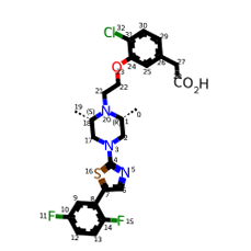 C[C@@H]1CN(c2ncc(-c3cc(F)ccc3F)s2)C[C@H](C)N1CCOc1cc(CC(=O)O)ccc1Cl